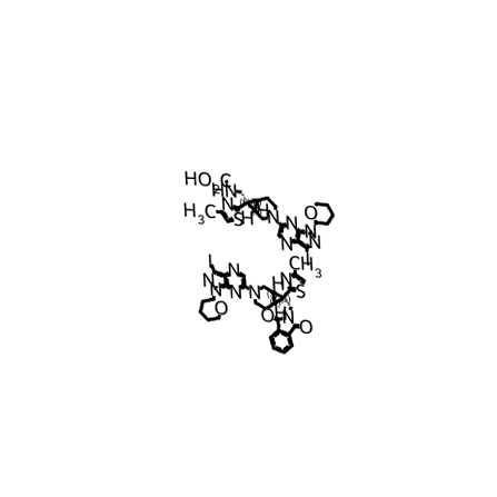 Cc1csc([C@@]2(CN3C(=O)c4ccccc4C3=O)[C@@H]3CCN(c4cnc5c(I)nn(C6CCCCO6)c5n4)C[C@@H]32)n1.Cc1csc([C@@]2(CNC(=O)O)[C@@H]3CCN(c4cnc5c(I)nn(C6CCCCO6)c5n4)C[C@@H]32)n1